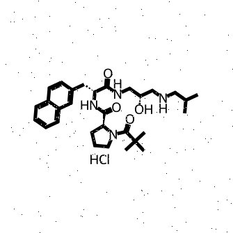 CC(C)CNC[C@H](O)CNC(=O)[C@@H](Cc1ccc2ccccc2c1)NC(=O)[C@@H]1CCCN1C(=O)C(C)(C)C.Cl